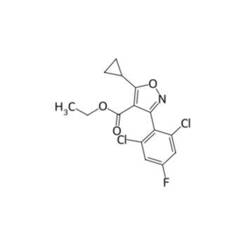 CCOC(=O)c1c(-c2c(Cl)cc(F)cc2Cl)noc1C1CC1